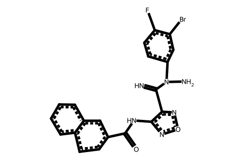 N=C(c1nonc1NC(=O)c1ccc2ccccc2c1)N(N)c1ccc(F)c(Br)c1